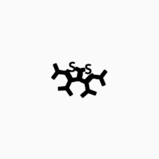 CC(C)c1sc2sc(C(C)C)c(C(C)C)c2c1C(C)C